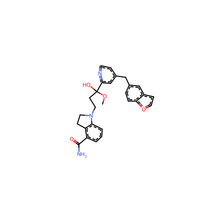 COC(O)(CCN1CCc2c(C(N)=O)cccc21)c1cc(Cc2ccc3occc3c2)ccn1